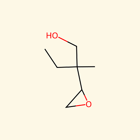 CCC(C)(CO)C1CO1